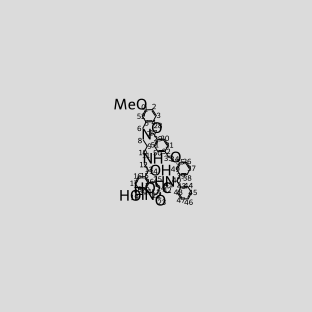 COc1cccc(CN(CCCNC[C@H](O)c2ccc(O)c3[nH]c(=O)ccc23)C(=O)c2ccc(COc3cccc([C@@H](NC(=O)O)c4ccccc4)c3)cc2)c1